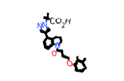 Cc1cccc(OCCCC(=O)N2CCCc3c(-c4cnn(C(C)(C)C(=O)O)c4)cccc32)c1C